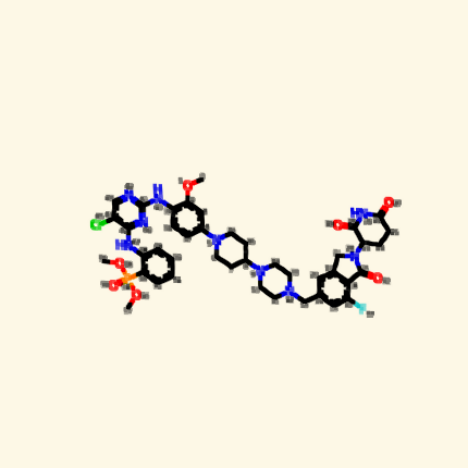 COc1cc(N2CCC(N3CCN(Cc4cc(F)c5c(c4)CN(C4CCC(=O)NC4=O)C5=O)CC3)CC2)ccc1Nc1ncc(Cl)c(Nc2ccccc2P(=O)(OC)OC)n1